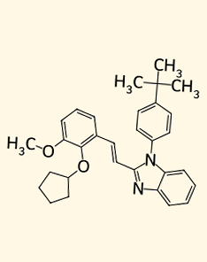 COc1cccc(C=Cc2nc3ccccc3n2-c2ccc(C(C)(C)C)cc2)c1OC1CCCC1